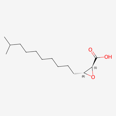 CC(C)CCCCCCCC[C@H]1O[C@@H]1C(=O)O